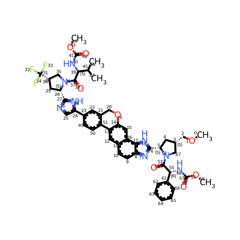 COC[C@H]1C[C@@H](c2nc3ccc4cc5c(cc4c3[nH]2)OCc2cc(-c3cnc([C@@H]4C[C@H](C(F)(F)F)CN4C(=O)[C@@H](NC(=O)OC)C(C)C)[nH]3)ccc2-5)N(C(=O)[C@H](NC(=O)OC)c2ccccc2)C1